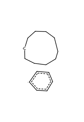 [CH]1CCCCCCCCC1.[c]1ccccc1